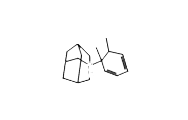 CC1C=CC=CC1(C)[PH]12CC3CC(CC(C3)C1)C2